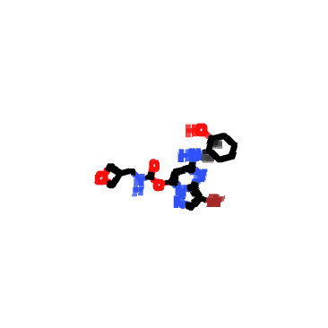 O=C(NCC1COC1)Oc1cc(N[C@H]2CCCC[C@H]2O)nc2c(Br)cnn12